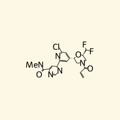 C=CC(=O)N1C[C@H](c2cc(Cl)nc(-c3cc(C(=O)NC)ncn3)c2)O[C@@H](C(F)F)C1